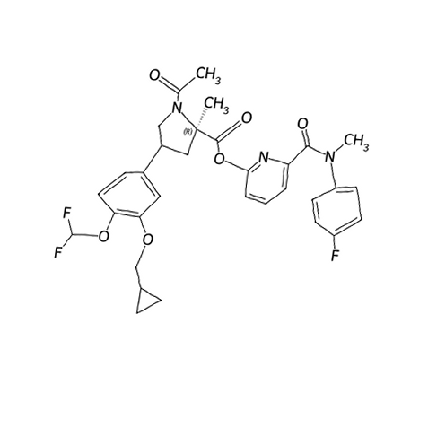 CC(=O)N1CC(c2ccc(OC(F)F)c(OCC3CC3)c2)C[C@]1(C)C(=O)Oc1cccc(C(=O)N(C)c2ccc(F)cc2)n1